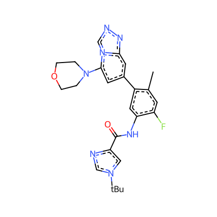 Cc1cc(F)c(NC(=O)c2cn(C(C)(C)C)cn2)cc1-c1cc(N2CCOCC2)n2cnnc2c1